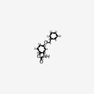 O=c1[nH]c2cc(OCc3ccccc3)ccc2o1